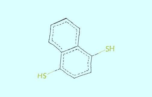 Sc1ccc(S)c2ccccc12